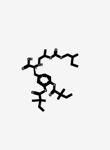 CCC(C)COC(=O)OC(C)CN[C@@H](Cc1ccc(OC(=O)C(C)(C)CC)c(OC(=O)C(C)(C)CC)c1)C(=O)O